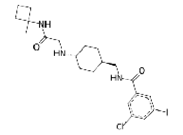 CC1(NC(=O)CN[C@H]2CC[C@H](CNC(=O)c3cc(Cl)cc(I)c3)CC2)CCC1